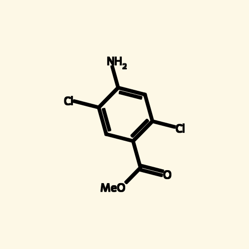 COC(=O)c1cc(Cl)c(N)cc1Cl